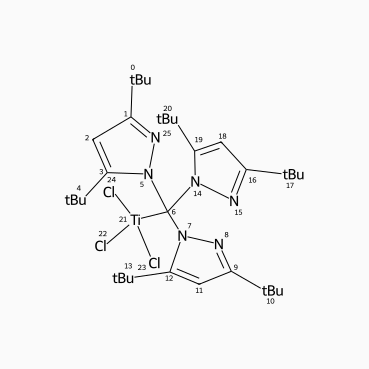 CC(C)(C)c1cc(C(C)(C)C)n([C](n2nc(C(C)(C)C)cc2C(C)(C)C)(n2nc(C(C)(C)C)cc2C(C)(C)C)[Ti]([Cl])([Cl])[Cl])n1